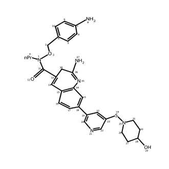 CCCN(OCc1ccc(N)cc1)C(=O)C1=Cc2ccc(-c3cncc(SN4CCC(O)CC4)c3)cc2N=C(N)C1